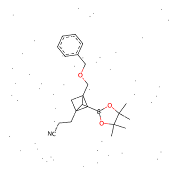 CC1(C)OB(C2C3(CCC#N)CC2(COCc2ccccc2)C3)OC1(C)C